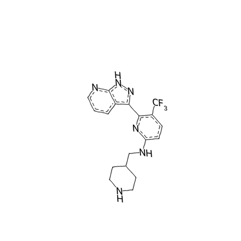 FC(F)(F)c1ccc(NCC2CCNCC2)nc1-c1n[nH]c2ncccc12